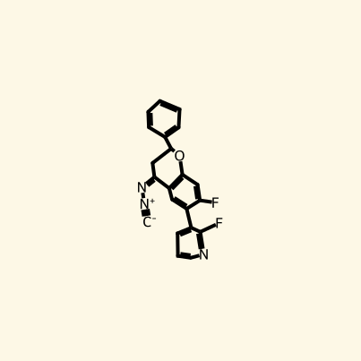 [C-]#[N+]/N=C1/CC(c2ccccc2)Oc2cc(F)c(-c3cccnc3F)cc21